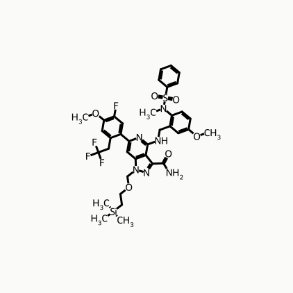 COc1ccc(N(C)S(=O)(=O)c2ccccc2)c(CNc2nc(-c3cc(F)c(OC)cc3CC(F)(F)F)cc3c2c(C(N)=O)nn3COCC[Si](C)(C)C)c1